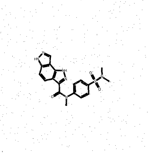 CN(C(=O)c1n[nH]c2c1ccc1[nH]ncc12)c1ccc(S(=O)(=O)N(C)C)cc1